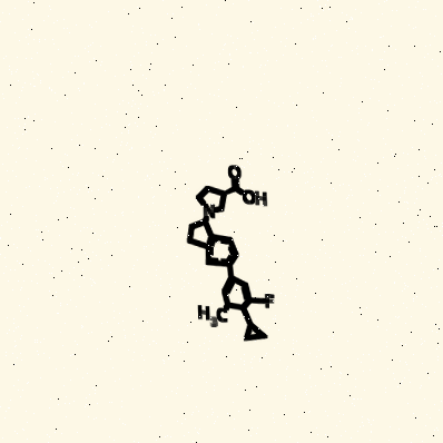 CC1C=C(c2ccc3c(c2)CCC3N2CC[C@@H](C(=O)O)C2)C=C(F)C1C1CC1